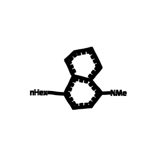 CCCCCCc1ccc(NC)c2ccccc12